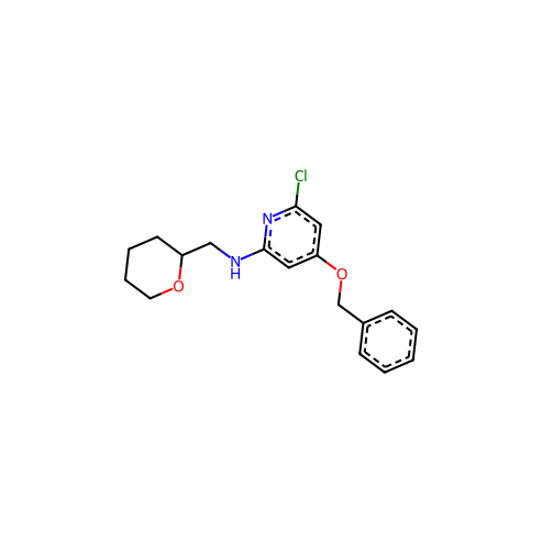 Clc1cc(OCc2ccccc2)cc(NCC2CCCCO2)n1